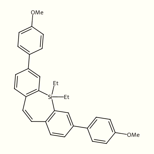 CC[Si]1(CC)c2cc(-c3ccc(OC)cc3)ccc2C=Cc2ccc(-c3ccc(OC)cc3)cc21